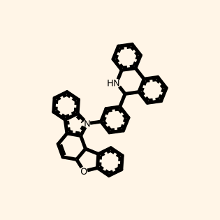 C1=CC2Oc3ccccc3C2c2c1c1ccccc1n2-c1cccc(C2Nc3ccccc3-c3ccccc32)c1